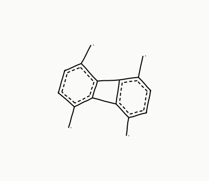 [CH2]c1ccc([CH2])c2c1-c1c([CH2])ccc([CH2])c1-2